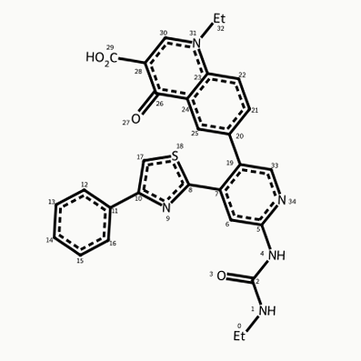 CCNC(=O)Nc1cc(-c2nc(-c3ccccc3)cs2)c(-c2ccc3c(c2)c(=O)c(C(=O)O)cn3CC)cn1